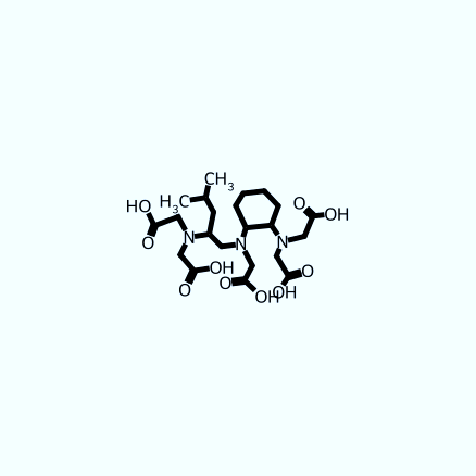 CC(C)CC(CN(CC(=O)O)C1CCCCC1N(CC(=O)O)CC(=O)O)N(CC(=O)O)CC(=O)O